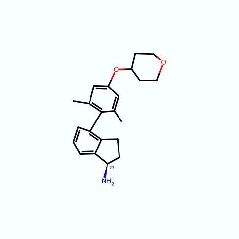 Cc1cc(OC2CCOCC2)cc(C)c1-c1cccc2c1CC[C@H]2N